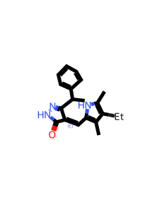 CCc1c(C)[nH]c(/C=C2/C(=O)NN=C2C(C)c2ccccc2)c1C